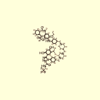 CCOc1cc(CN2CCC(CN3CCN(Cc4ccc(-n5c(C(=O)NCC(F)(F)F)nnc5-c5cc(C(C)C)c(O)cc5O)cc4)CC3)CC2)ccc1Nc1ncc2c(n1)N(S(C)(=O)=O)c1ccccc1C(=O)N2C